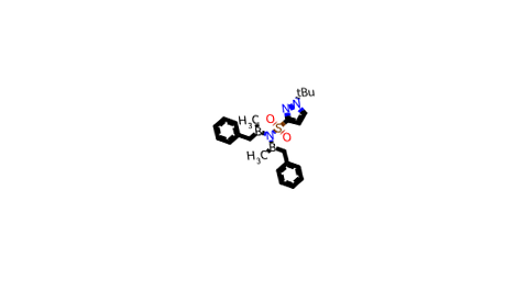 CB(Cc1ccccc1)N(B(C)Cc1ccccc1)S(=O)(=O)c1ccn(C(C)(C)C)n1